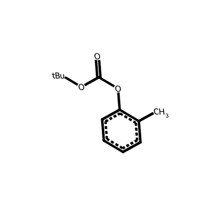 Cc1ccccc1OC(=O)OC(C)(C)C